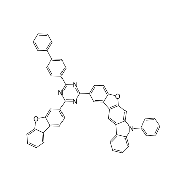 c1ccc(-c2ccc(-c3nc(-c4ccc5c(c4)oc4ccccc45)nc(-c4ccc5oc6cc7c(cc6c5c4)c4ccccc4n7-c4ccccc4)n3)cc2)cc1